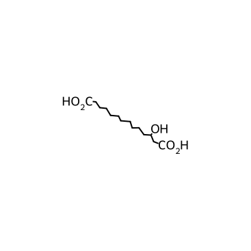 O=C(O)CCCCCCCCCCC(O)CC(=O)O